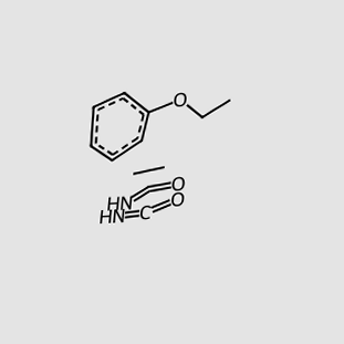 CC.CCOc1ccccc1.N=C=O.N=C=O